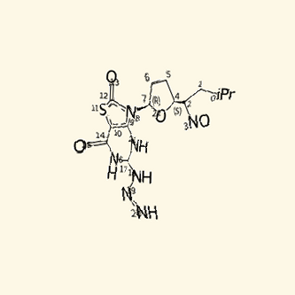 CC(C)CC(N=O)[C@@H]1CC[C@H](n2c3c(sc2=O)C(=O)NC(NN=N)N3)O1